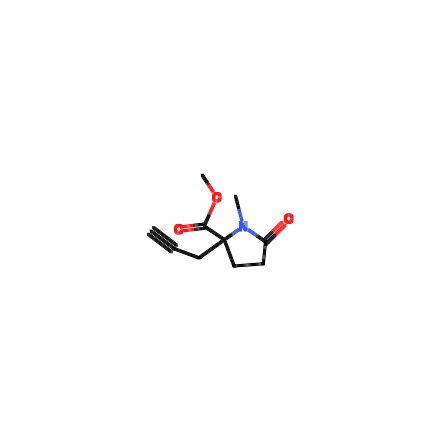 C#CCC1(C(=O)OC)CCC(=O)N1C